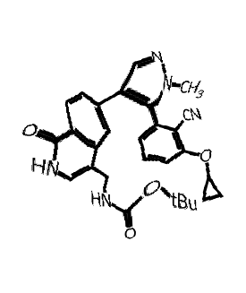 Cn1ncc(-c2ccc3c(=O)[nH]cc(CNC(=O)OC(C)(C)C)c3c2)c1-c1cccc(OC2CC2)c1C#N